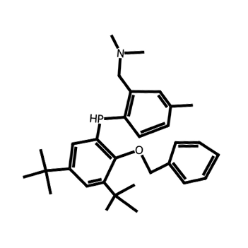 Cc1ccc(Pc2cc(C(C)(C)C)cc(C(C)(C)C)c2OCc2ccccc2)c(CN(C)C)c1